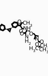 Cc1oc2ccc([C@@H]3C[C@H]3c3ccccc3)cc2c1C(=O)N[C@@H](COCC1CN(C(=O)OC(C)(C)C)C1)C(N)=O